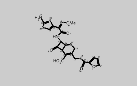 CO/N=C(\C(=O)N[C@@H]1C(=O)C2C(C(=O)O)=C(CSC(=O)c3ccco3)CSC21)c1csc(N)n1